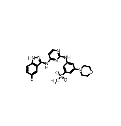 CS(=O)(=O)c1cc(Nc2nccc(Nc3n[nH]c4ccc(F)cc34)n2)cc(N2CCOCC2)c1